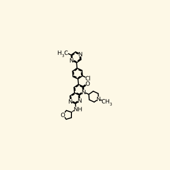 Cc1cncc(-c2ccc(-c3cc4cnc(N[C@H]5CCOC5)nc4n(C4CCN(C)CC4)c3=O)c(Cl)c2)n1